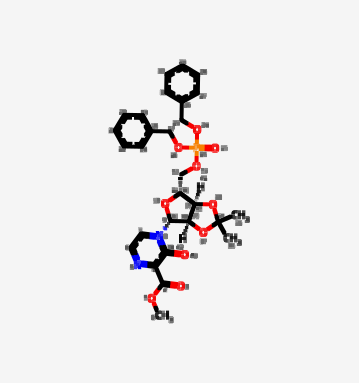 COC(=O)c1nccn([C@@H]2O[C@H](COP(=O)(OCc3ccccc3)OCc3ccccc3)[C@H]3OC(C)(C)O[C@H]32)c1=O